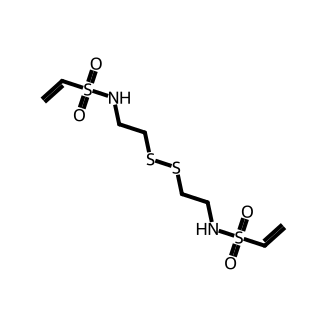 C=CS(=O)(=O)NCCSSCCNS(=O)(=O)C=C